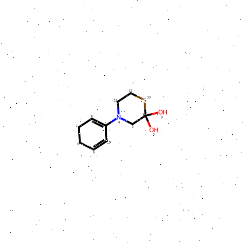 OC1(O)CN(C2=CC[CH]C=C2)CCS1